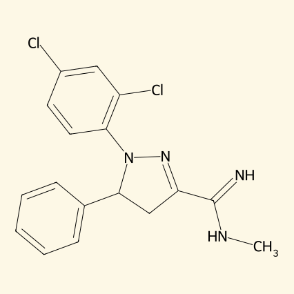 CNC(=N)C1=NN(c2ccc(Cl)cc2Cl)C(c2ccccc2)C1